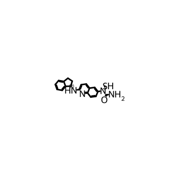 NC(=O)N(S)c1ccc2nc(N[C@@H]3CCc4ccccc43)ccc2c1